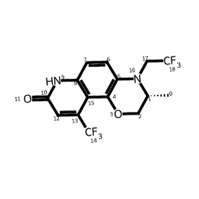 C[C@@H]1COc2c(ccc3[nH]c(=O)cc(C(F)(F)F)c23)N1CC(F)(F)F